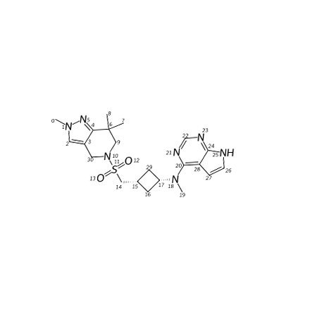 Cn1cc2c(n1)C(C)(C)CN(S(=O)(=O)C[C@H]1C[C@@H](N(C)c3ncnc4[nH]ccc34)C1)C2